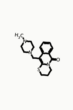 CN1CCN(Cc2c3n(c(=O)c4ccccc24)CCCS3)CC1